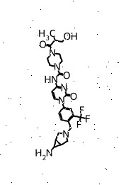 CC(CO)C(=O)N1CCN(C(=O)Nc2ccn(-c3ccc(CN4CC5C(N)C5C4)c(C(F)(F)F)c3)c(=O)n2)CC1